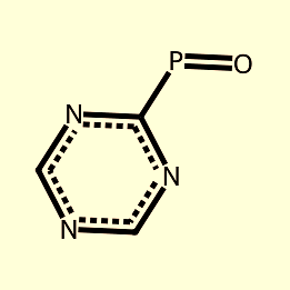 O=Pc1ncncn1